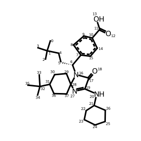 CC(C)(C)CC[C@H](c1ccc(C(=O)O)cc1)N1C(=O)C(NC2CCCCC2)=NC12CCC(C(C)(C)C)CC2